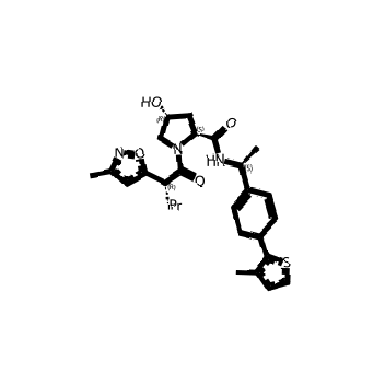 Cc1cc([C@H](C(=O)N2C[C@H](O)C[C@H]2C(=O)N[C@@H](C)C2=CCC(c3sccc3C)C=C2)C(C)C)on1